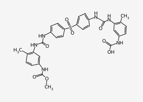 COC(=O)Nc1ccc(C)c(NC(=O)Nc2ccc(S(=O)(=O)c3ccc(NC(=O)Nc4cc(NC(=O)O)ccc4C)cc3)cc2)c1